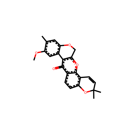 COc1cc2c(cc1C)OCc1oc3c4c(ccc3c(=O)c1-2)OC(C)(C)C=C4